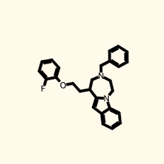 Fc1ccccc1OCCC1CN(Cc2ccccc2)CCn2c1cc1ccccc12